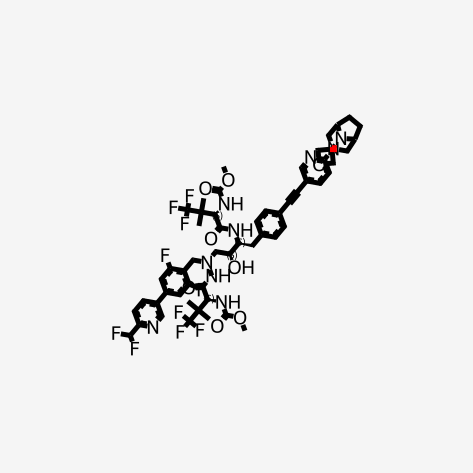 COC(=O)N[C@H](C(=O)N[C@@H](Cc1ccc(C#Cc2ccc(N3CC4CCC(C3)N4C3COC3)nc2)cc1)[C@@H](O)CN(Cc1c(F)cc(-c2ccc(C(F)F)nc2)cc1F)NC(=O)[C@@H](NC(=O)OC)C(C)(C)C(F)(F)F)C(C)(C)C(F)(F)F